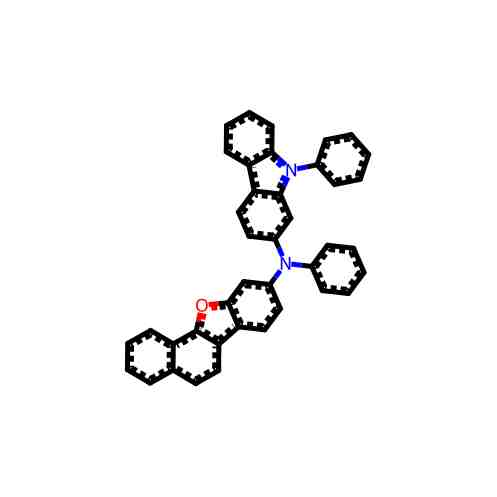 c1ccc(N(c2ccc3c(c2)oc2c4ccccc4ccc32)c2ccc3c4ccccc4n(-c4ccccc4)c3c2)cc1